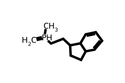 C=[PH](C)CCC1CCC2C=CC=CC21